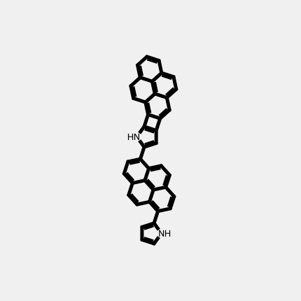 c1c[nH]c(-c2ccc3ccc4c(-c5cc6c7cc8ccc9cccc%10ccc(c7c6[nH]5)c8c9%10)ccc5ccc2c3c54)c1